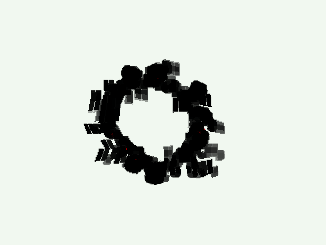 CCCC[C@H]1C(=O)N(C)CC(=O)N[C@@H](CC(=O)O)C(=O)N[C@@H](C(C)C)C(=O)N(C)[C@@H](Cc2ccccc2)C(=O)N[C@@H](Cc2ccc(O)cc2)C(=O)N(C)CC(=O)N[C@@H](Cc2c[nH]c3ccccc23)C(=O)N[C@@H](Cc2ccc(O)cc2)C(=O)N[C@@H](Cc2ccc(C)cc2)C(=O)N[C@H](C(=O)NCC(N)=O)CSCC(=O)N[C@@H](Cc2ccccc2)C(=O)N(C)[C@@H](Cc2ccccc2)C(=O)N1C